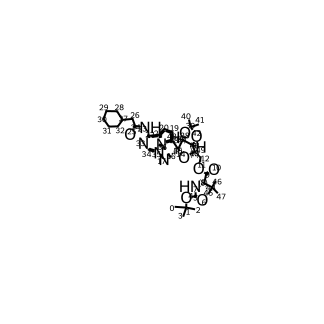 CC(C)(C)OC(=O)N[C@H](C(=O)OC[C@H]1O[C@@](C#N)(c2ccc3c(NC(=O)CC4CCCCC4)ncnn23)[C@@H]2OC(C)(C)O[C@@H]21)C(C)(C)C